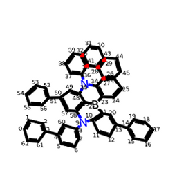 c1ccc(-c2cccc(N3c4ccc(-c5ccccc5)cc4B4c5cccc(-c6ccccc6)c5N(c5ccccc5-c5ccccc5)c5cc(-c6ccccc6)cc3c54)c2)cc1